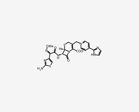 CO/N=C(\C(=O)N[C@@H]1C(=O)N2C(C(=O)[O-])=C(C[n+]3ccc(-c4ncc[nH]4)cc3)CS[C@@H]12)c1csc(N)n1